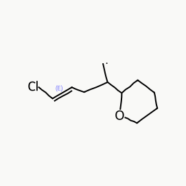 [CH2]C(C/C=C/Cl)C1CCCCO1